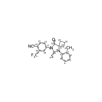 Cc1ccccc1N1C(=S)N(c2ccc(C#N)c(C(F)(F)F)c2)C(=O)C12CCC2